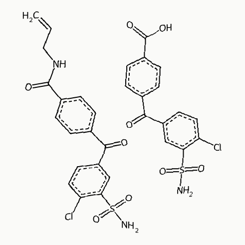 C=CCNC(=O)c1ccc(C(=O)c2ccc(Cl)c(S(N)(=O)=O)c2)cc1.NS(=O)(=O)c1cc(C(=O)c2ccc(C(=O)O)cc2)ccc1Cl